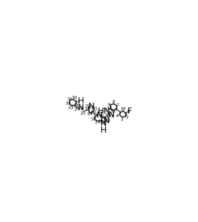 Fc1cccc(-c2cccc3[nH]c(-c4n[nH]c5ccc(-c6cncc(CNCc7ccccc7)c6)nc45)nc23)c1